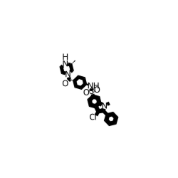 C[C@@H]1CN(C(=O)[C@H]2CC[C@H](NS(=O)(=O)c3ccc4c(Cl)c(-c5ccccc5)n(C)c4c3)CC2)CCN1